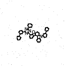 C1=CC2C(c3ccccc3N2c2cccc(-c3ccccc3)c2)c2c1oc1c(-c3nc(-c4ccccc4)nc(-c4cccc(-c5ccccc5)c4)n3)cccc21